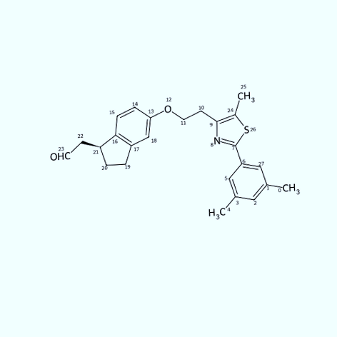 Cc1cc(C)cc(-c2nc(CCOc3ccc4c(c3)CC[C@H]4CC=O)c(C)s2)c1